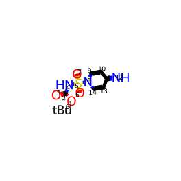 CC(C)(C)OC(=O)NS(=O)(=O)n1ccc(=N)cc1